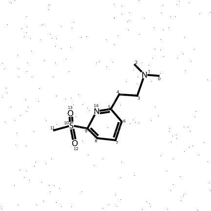 CN(C)CCc1cccc(S(C)(=O)=O)n1